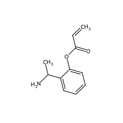 C=CC(=O)Oc1ccccc1C(C)N